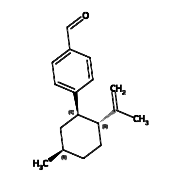 C=C(C)[C@@H]1CC[C@@H](C)C[C@H]1c1ccc(C=O)cc1